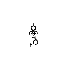 Cc1ccc(S(=O)(=O)OC[C@H]2C=C(F)C=CC2)cc1